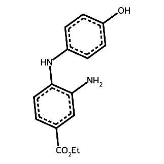 CCOC(=O)c1ccc(Nc2ccc(O)cc2)c(N)c1